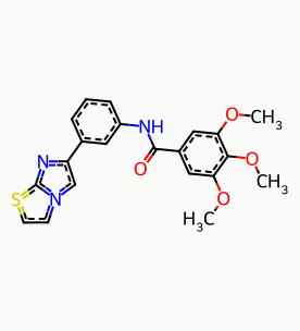 COc1cc(C(=O)Nc2cccc(-c3cn4ccsc4n3)c2)cc(OC)c1OC